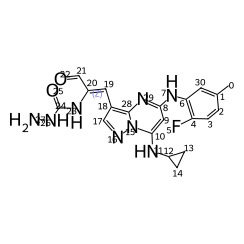 Cc1ccc(F)c(Nc2cc(NC3CC3)n3ncc(/C=C(/C=O)NC(=O)NN)c3n2)c1